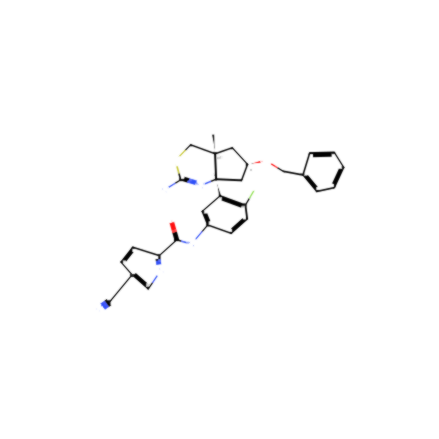 N#Cc1ccc(C(=O)Nc2ccc(F)c([C@]34C[C@H](OCc5ccccc5)C[C@H]3CSC(N)=N4)c2)nc1